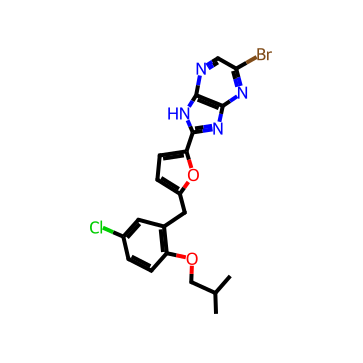 CC(C)COc1ccc(Cl)cc1Cc1ccc(-c2nc3nc(Br)cnc3[nH]2)o1